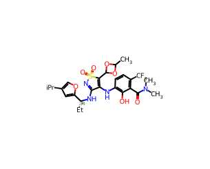 CC[C@@H](NC1=NS(=O)(=O)C(C2OC(C)O2)=C1Nc1ccc(C(F)(F)F)c(C(=O)N(C)C)c1O)c1cc(C(C)C)co1